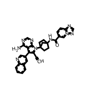 C#Cc1c(-c2cnc3ccccc3c2)c2c(N)ncnc2n1C12CCC(NC(=O)c3ccc4ncnn4c3)(CC1)C2